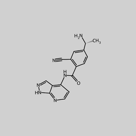 C[C@@H](N)c1ccc(C(=O)Nc2ccnc3[nH]ncc23)c(C#N)c1